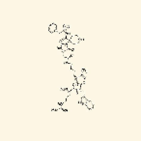 CN[C@@H](CCCNC(=N)N)C(=O)N[C@@H](Cc1c[nH]c2ccccc12)C(=O)N[C@@H](CCCCNC(=O)C[C@@H]1NC(=O)N(C2(C(=O)N[C@@H](C=O)Cc3ccccc3)CCNCC2)C1=O)C(N)=O